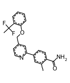 Cc1cc(-c2cc(COc3ccccc3C(C)(F)F)ccn2)ccc1C(N)=O